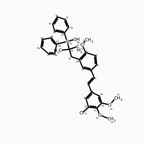 COc1ccc(C=Cc2cc(Cl)c(OC)c(OC)c2)cc1CC(C)(C)[Si](O)(c1ccccc1)c1ccccc1